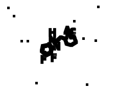 CC(=O)N1CCCCC1Cc1nc2c(F)c(F)ccc2[nH]1